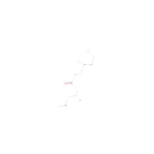 CCC(=O)OC(OC(=O)NCC1CCC(C(=O)O)CC1)C(C)C